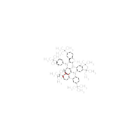 Cc1cc2c3c(n1)N(c1ccc(C(C)(C)C)cc1)c1c(sc4ccc(C(C)(C)C)cc14)B3c1cc3c(cc1N2c1ccc(C(C)(C)C)cc1-c1ccc(C(C)(C)C)cc1)C(C)(C)CC3(C)C